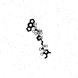 CCC1=C(C)CN(C(=O)NCCn2ccc(S(=O)(=O)NC(=O)Nc3c4c(cc5c3CCC5)CCC4)n2)C1=O